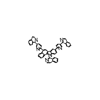 c1ccc2c(-c3ccc(-c4ccc5c(c4)c4cc(-c6ccc(-c7nccc8ccccc78)cn6)c6ccccc6c4n5-c4nccc5ccccc45)nc3)nccc2c1